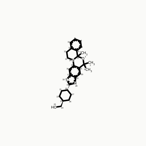 CC1(C)OC2(C)c3ccccc3CCN2c2cc3sc([C@H]4CC[C@H](CO)CC4)nc3cc21